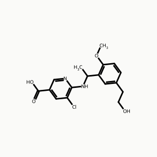 COc1ccc(CCO)cc1C(C)Nc1ncc(C(=O)O)cc1Cl